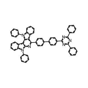 c1ccc(-c2nc(-c3ccccc3)nc(-c3ccc(-c4ccc(-c5nc6c(c7ccccc7n6-c6ccccc6)c6c5c5ccccc5n6-c5ccccc5)cc4)cc3)n2)cc1